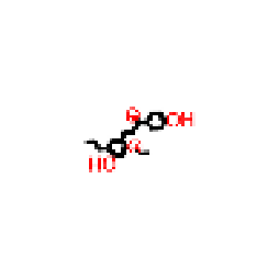 CCCc1cc(/C=C/C(=O)c2ccc(O)cc2)c(OCC)cc1O